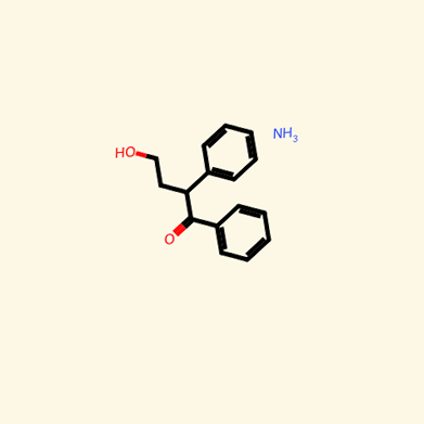 N.O=C(c1ccccc1)C(CCO)c1ccccc1